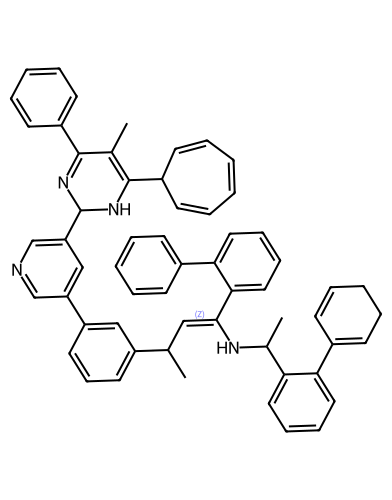 CC1=C(C2C=CC=CC=C2)NC(c2cncc(-c3cccc(C(C)/C=C(\NC(C)c4ccccc4C4=CCCC=C4)c4ccccc4-c4ccccc4)c3)c2)N=C1c1ccccc1